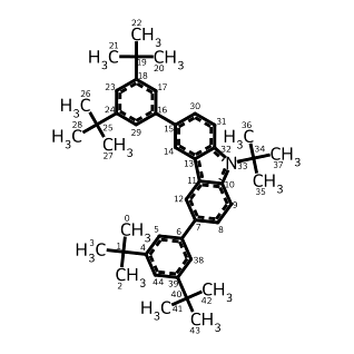 CC(C)(C)c1cc(-c2ccc3c(c2)c2cc(-c4cc(C(C)(C)C)cc(C(C)(C)C)c4)ccc2n3C(C)(C)C)cc(C(C)(C)C)c1